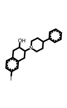 OC1Cc2ccc(I)cc2CC1N1CCC(c2ccccc2)CC1